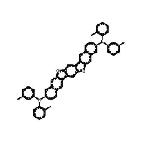 Cc1cccc(N(c2ccc3cc4c(cc3c2)oc2cc3c(cc24)oc2cc4cc(N(c5cccc(C)c5)c5ccccc5C)ccc4cc23)c2ccccc2C)c1